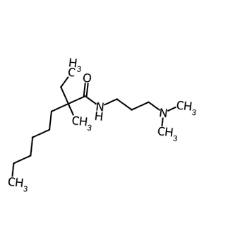 CCCCCCC(C)(CC)C(=O)NCCCN(C)C